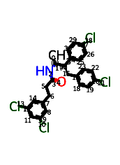 C[C@@H](NC(=O)CCc1cc(Cl)cc(Cl)c1)[C@H](Cc1ccc(Cl)cc1)c1ccc(Cl)cc1